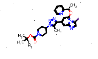 Cc1c(-c2cc(O[C@H](C)c3ccccn3)n3c(I)cnc3c2)nnn1C1CCN(C(=O)OC(C)(C)C)CC1